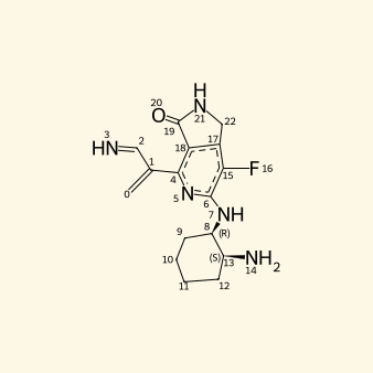 C=C(C=N)c1nc(N[C@@H]2CCCC[C@@H]2N)c(F)c2c1C(=O)NC2